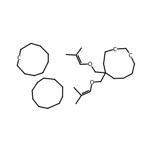 C1CCCCCCCCC1.C1CCCCCCCCC1.CC(C)=COCC1(COC=C(C)C)CCCCCCCCC1